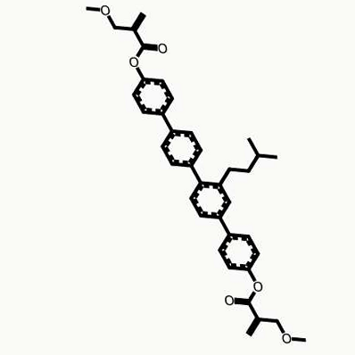 C=C(COC)C(=O)Oc1ccc(-c2ccc(-c3ccc(-c4ccc(OC(=O)C(=C)COC)cc4)cc3CCC(C)C)cc2)cc1